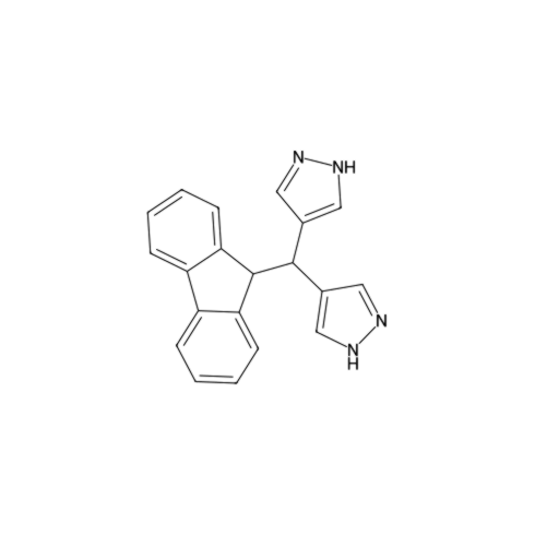 c1ccc2c(c1)-c1ccccc1C2C(c1cn[nH]c1)c1cn[nH]c1